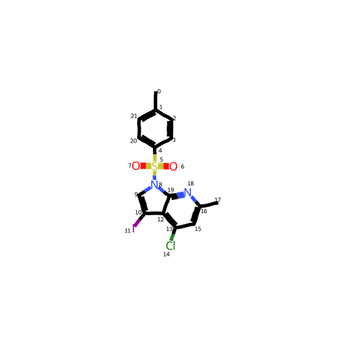 Cc1ccc(S(=O)(=O)n2cc(I)c3c(Cl)cc(C)nc32)cc1